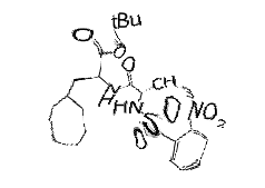 C[C@H](NS(=O)(=O)c1ccccc1[N+](=O)[O-])C(=O)N[C@@H](CC1CCCCCC1)C(=O)OC(C)(C)C